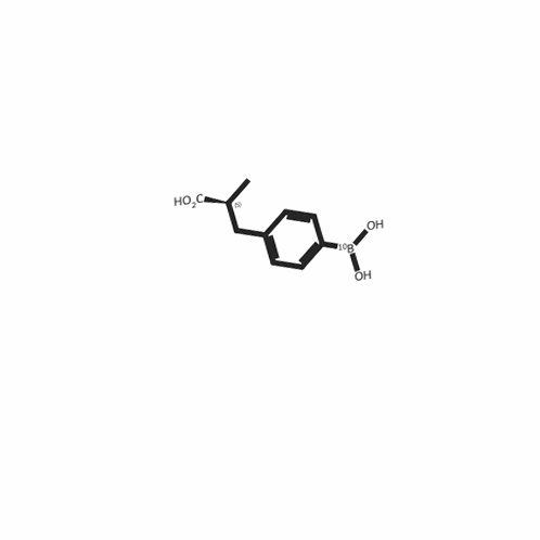 C[C@@H](Cc1ccc([10B](O)O)cc1)C(=O)O